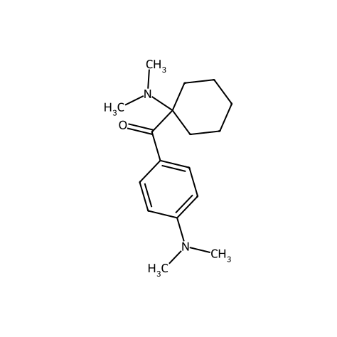 CN(C)c1ccc(C(=O)C2(N(C)C)CCCCC2)cc1